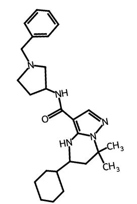 CC1(C)CC(C2CCCCC2)Nc2c(C(=O)NC3CCN(Cc4ccccc4)C3)cnn21